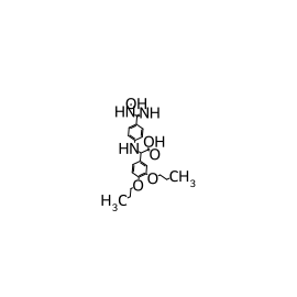 CCCOc1ccc(C(Nc2ccc(C(=N)NO)cc2)C(=O)O)cc1OCCC